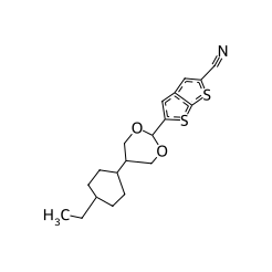 CCC1CCC(C2COC(c3cc4cc(C#N)sc4s3)OC2)CC1